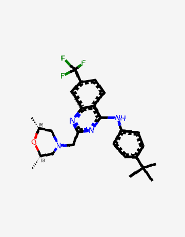 C[C@@H]1CN(Cc2nc(Nc3ccc(C(C)(C)C)cc3)c3ccc(C(F)(F)F)cc3n2)C[C@H](C)O1